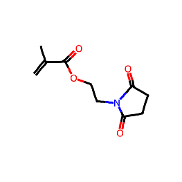 C=C(C)C(=O)OCCN1C(=O)CCC1=O